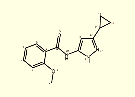 COc1ccccc1C(=O)Nc1cc(C2CC2)n[nH]1